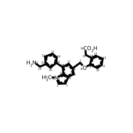 Cn1ccc2cc(COc3ccccc3CC(=O)O)cc(-c3cccc(CN)c3)c21